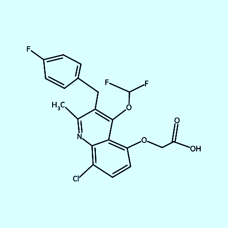 Cc1nc2c(Cl)ccc(OCC(=O)O)c2c(OC(F)F)c1Cc1ccc(F)cc1